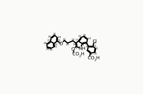 O=C(O)Oc1[nH]c2c(-c3cc(C(=O)O)ccc3Cl)cccc2c1CCCOc1cccc2ccccc12